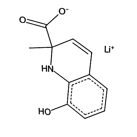 CC1(C(=O)[O-])C=Cc2cccc(O)c2N1.[Li+]